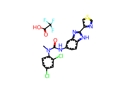 CN(C(=O)Nc1ccc2[nH]c(-c3cscn3)nc2c1)c1ccc(Cl)cc1Cl.O=C(O)C(F)(F)F